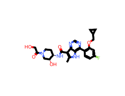 Cc1[nH]c2c(-c3ccc(F)cc3OCC3CC3)ncnc2c1C(=O)N[C@H]1CCN(C(=O)CO)C[C@H]1O